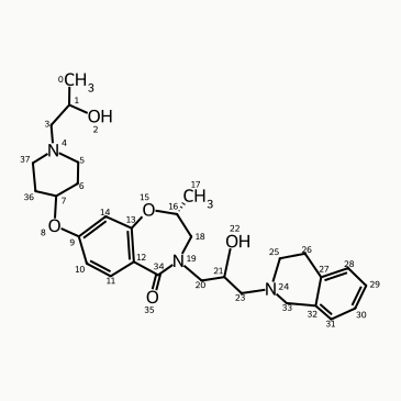 CC(O)CN1CCC(Oc2ccc3c(c2)O[C@H](C)CN(CC(O)CN2CCc4ccccc4C2)C3=O)CC1